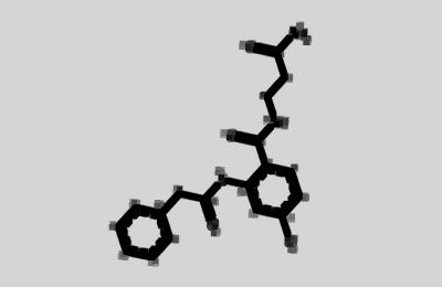 NC(=O)CCNC(=O)c1ccc(Cl)cc1SC(=O)Cc1ccccc1